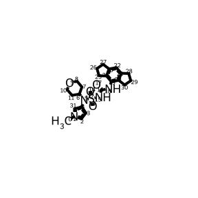 Cn1ccc(N(C2CCOCC2)S(=O)(=O)NC(=O)Nc2c3c(cc4c2CCC4)CCC3)c1